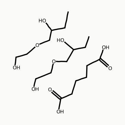 CCC(O)COCCO.CCC(O)COCCO.O=C(O)CCCCC(=O)O